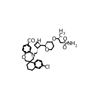 C[C@H](CS(N)(=O)=O)O[C@@H]1CCO[C@@H]([C@@H]2CC[C@H]2CN2CC3(CCCc4cc(Cl)ccc43)COc3ccc(C(=O)O)cc32)C1